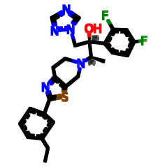 CCc1cccc(-c2nc3c(s2)CN([C@H](C)[C@](O)(Cn2cncn2)c2ccc(F)cc2F)CC3)c1